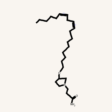 CCCCC/C=C\C/C=C\CCCCCCCCOC1CCN(CCC(N)=O)C1